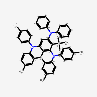 Cc1ccc(N2c3ccc(C)cc3B3c4cc(C)ccc4N(c4ccc(C)cc4)c4c3c2cc(N(c2ccccc2)c2ccccc2)c4[Si](C)(C)C)cc1